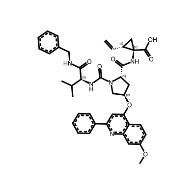 C=C[C@@H]1C[C@]1(NC(=O)[C@@H]1C[C@@H](Oc2cc(-c3ccccc3)nc3cc(OC)ccc23)CN1C(=O)N[C@H](C(=O)NCc1ccccc1)C(C)C)C(=O)O